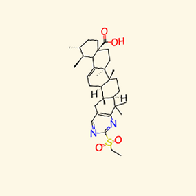 CCS(=O)(=O)c1ncc2c(n1)C(C)(C)[C@@H]1CC[C@]3(C)[C@H](CC=C4C5[C@@H](C)[C@H](C)CC[C@]5(C(=O)O)CC[C@]43C)[C@@]1(C)C2